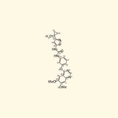 COc1cc2ncnc(Oc3cccc(NC(=O)Nc4cc(C5(C)CC5)no4)c3)c2cc1OC